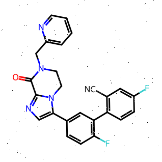 N#Cc1cc(F)ccc1-c1cc(-c2cnc3n2CCN(Cc2ccccn2)C3=O)ccc1F